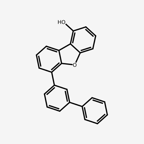 Oc1cccc2oc3c(-c4cccc(-c5ccccc5)c4)cccc3c12